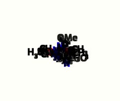 COCc1cccc2c1nc(-c1nn(COCC[Si](C)(C)C)c3ncc(-c4cncc(C=O)c4C)cc13)n2COCC[Si](C)(C)C